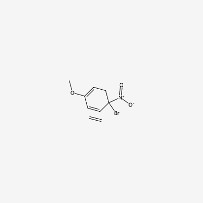 C=C.COC1=CCC(Br)([N+](=O)[O-])C=C1